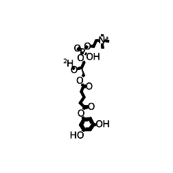 [2H]O[C@H](COC(=O)CCCC(=O)Oc1cc(O)cc(O)c1)COP(=O)(O)OCC[N+](C)(C)C